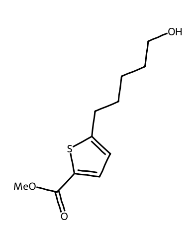 COC(=O)c1ccc(CCCCCO)s1